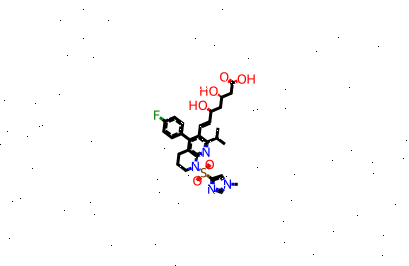 CC(C)c1nc2c(c(-c3ccc(F)cc3)c1C=CC(O)C[C@@H](O)CC(=O)O)CCCN2S(=O)(=O)c1cn(C)cn1